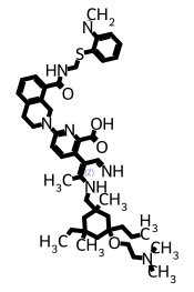 C=Nc1ccccc1SCNC(=O)c1cccc2c1CN(c1ccc(/C(C=N)=C(\C)NCC3(C)CC(C)(CC)CC(CCC)(OCCN(C)C)C3)c(C(=O)O)n1)CC2